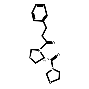 O=C([C@@H]1CSCN1C(=O)CCc1ccccc1)N1CCSC1